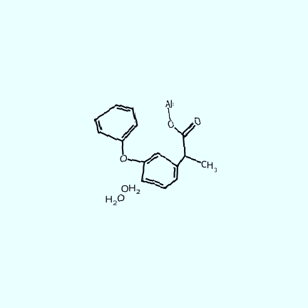 CC(C(=O)[O][Al])c1cccc(Oc2ccccc2)c1.O.O